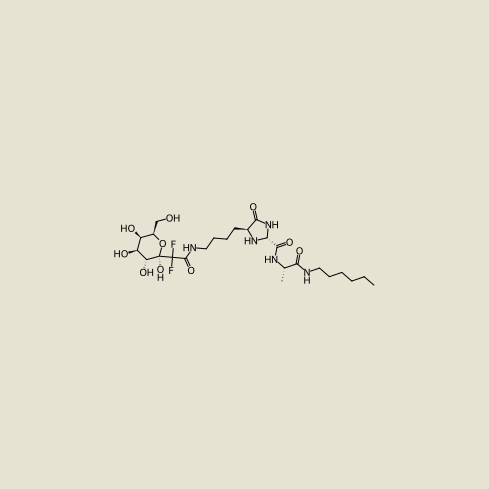 CCCCCCNC(=O)[C@H](C)NC(=O)[C@H]1NC(=O)[C@H](CCCCNC(=O)C(F)(F)[C@]2(O)O[C@H](CO)[C@H](O)[C@H](O)[C@H]2O)N1